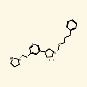 Cl.c1ccc(CCCOC[C@@H]2CCN(c3cncc(OC[C@@H]4CCCN4)c3)C2)cc1